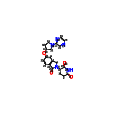 O=C1CCC(N2Cc3cc(OC4CCN(c5cnccn5)C4)ccc3C2=O)C(=O)N1